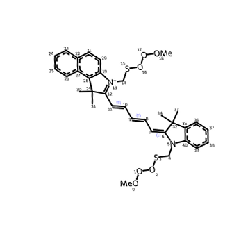 COOOSCN1/C(=C/C=C/C=C/C2=[N+](CSOOOC)c3ccc4ccccc4c3C2(C)C)C(C)(C)c2ccccc21